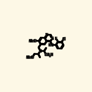 COCC(C)N(Cc1cc2c(Nc3cccc(Cl)c3F)ncnc2cc1OC)[C@@H](C)C(=O)O